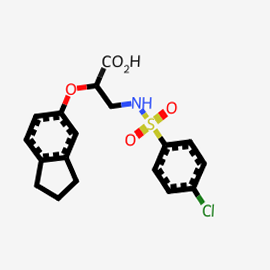 O=C(O)C(CNS(=O)(=O)c1ccc(Cl)cc1)Oc1ccc2c(c1)CCC2